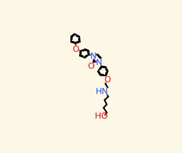 O=c1n(-c2ccc(OCCNCCCCCO)cc2)ccn1-c1ccc(Oc2ccccc2)cc1